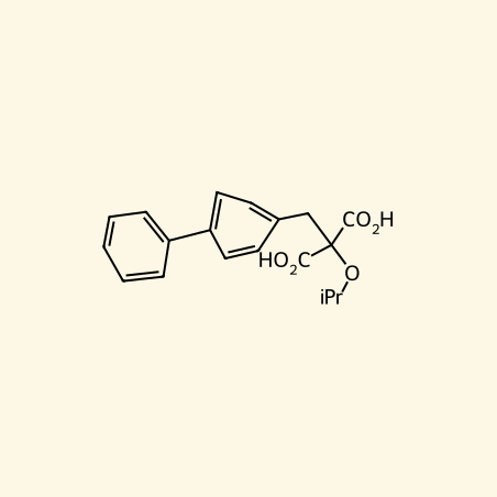 CC(C)OC(Cc1ccc(-c2ccccc2)cc1)(C(=O)O)C(=O)O